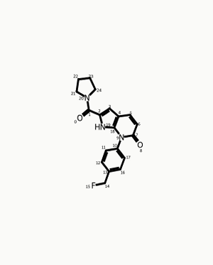 O=C(c1cc2ccc(=O)n(-c3ccc(CF)cc3)c2[nH]1)N1CCCC1